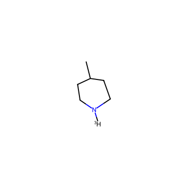 [3H]N1CCC(C)CC1